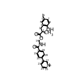 CC(Cc1cc(I)ccc1O)C(=O)OCNC(=O)c1ccc(-c2cccnc2)cc1